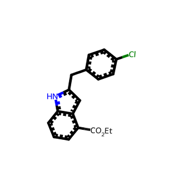 CCOC(=O)c1cccc2[nH]c(Cc3ccc(Cl)cc3)cc12